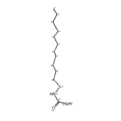 CCCCCCCCCCCSNC(=O)[SeH]